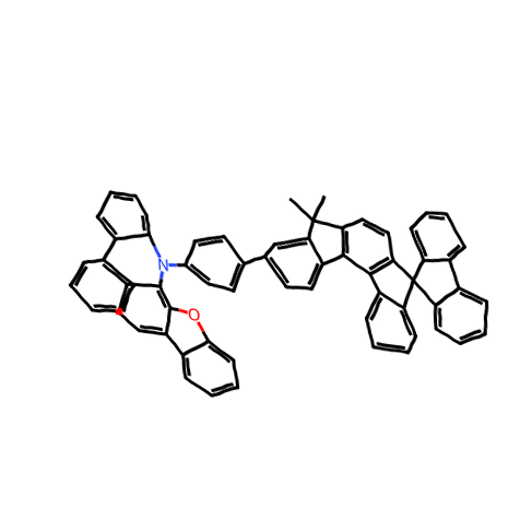 CC1(C)c2cc(-c3ccc(N(c4ccccc4-c4ccccc4)c4cccc5c4oc4ccccc45)cc3)ccc2-c2c1ccc1c2-c2ccccc2C12c1ccccc1-c1ccccc12